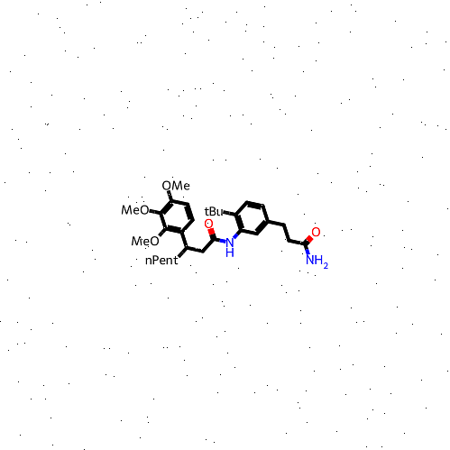 CCCCCC(CC(=O)Nc1cc(CCC(N)=O)ccc1C(C)(C)C)c1ccc(OC)c(OC)c1OC